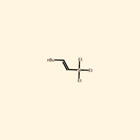 CCCCC=C[Si](CC)(CC)CC